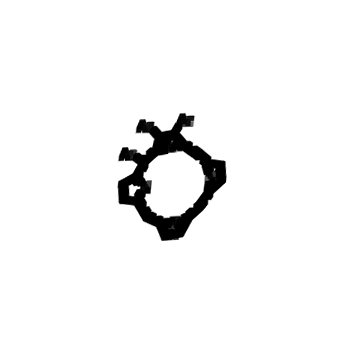 CC(=O)c1c(C(C)=O)c2c(C(C)=O)c3nc(cc4ccc(cc5nc(cc1n2C(C)=O)C=C5)[nH]4)C=C3